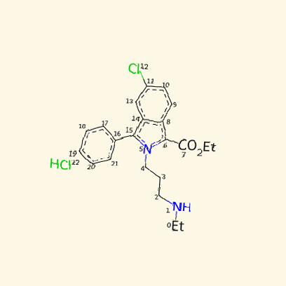 CCNCCCn1c(C(=O)OCC)c2ccc(Cl)cc2c1-c1ccccc1.Cl